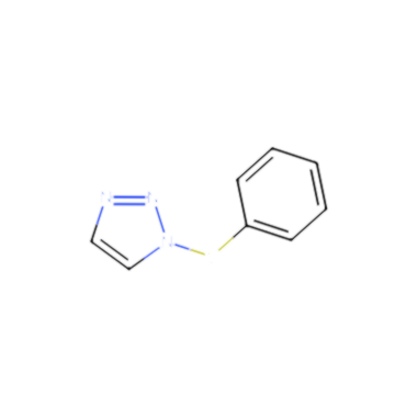 c1ccc(Sn2ccnn2)cc1